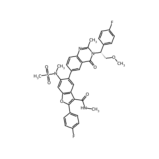 CNC(=O)c1c(-c2ccc(F)cc2)oc2cc(N(C)S(C)(=O)=O)c(-c3ccc4nc(C)n([C@@H](COC)c5ccc(F)cc5)c(=O)c4c3)cc12